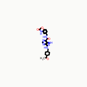 CC(=O)C1CCC(CNc2n[nH]c3c(C(=O)NCc4ccc5c(c4)NC(=O)CO5)ncnc23)CC1